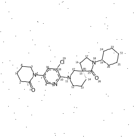 O=C1CCCCN1c1cnc(N2CCC[C@@]3(CCN(C4CCCCC4)C3=O)C2)c(Cl)c1